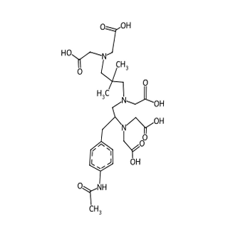 CC(=O)Nc1ccc(CC(CN(CC(=O)O)CC(C)(C)CN(CC(=O)O)CC(=O)O)N(CC(=O)O)CC(=O)O)cc1